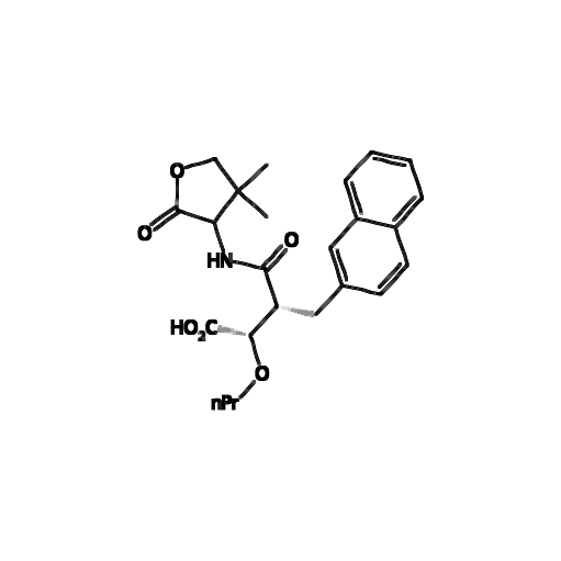 CCCO[C@H](C(=O)O)[C@@H](Cc1ccc2ccccc2c1)C(=O)NC1C(=O)OCC1(C)C